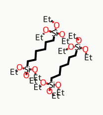 CCO[Si](CCCCCC[Si](OCC)(OCC)OCC)(OCC)OCC.CCO[Si](CCCCCC[Si](OCC)(OCC)OCC)(OCC)OCC